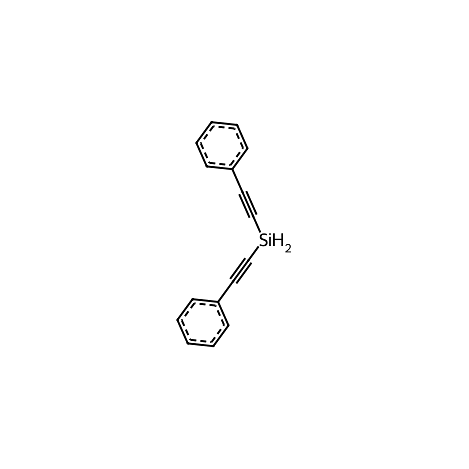 C(#Cc1ccccc1)[SiH2]C#Cc1ccccc1